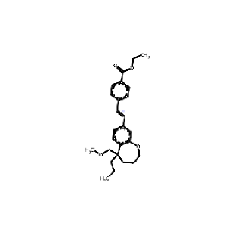 CCCC1(COC)CCCOc2cc(/C=C/c3ccc(C(=O)OCC)cc3)ccc21